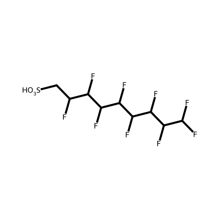 O=S(=O)(O)CC(F)C(F)C(F)C(F)C(F)C(F)C(F)C(F)F